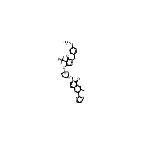 COc1ccc(Cn2ncc(O[C@H]3CCC[C@@H](Cn4ccc5cc(-c6nc[c]cn6)c(F)cc5c4=O)C3)c(C(F)(F)F)c2=O)cc1